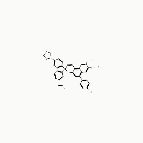 COc1cc2c(-c3ccc(Br)cc3)cc3c(c2cc1OC)C=CC(c1ccccc1)(c1ccc(N2CCCC2)cc1)O3.ClCCl